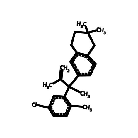 C=C(C)C(C)(c1ccc2c(c1)CCC(C)(C)C2)c1cc(Cl)ccc1C